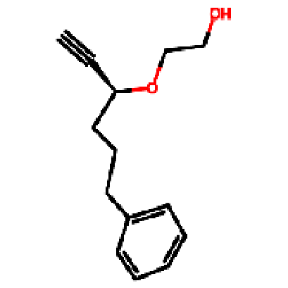 C#C[C@H](CCCc1ccccc1)OCCO